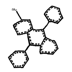 CC(C)(C)c1ccc2c(-c3ccccc3)c3ccccc3c(-c3ccccc3)c2c1